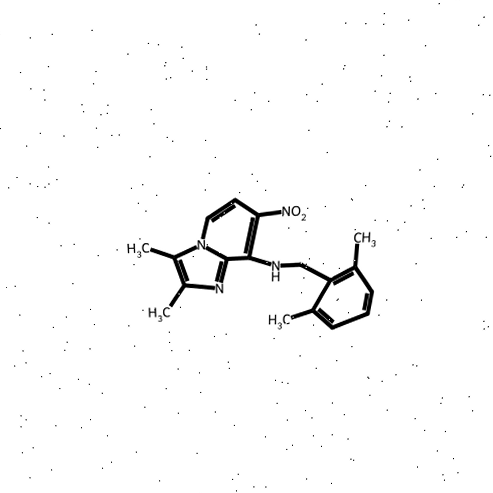 Cc1cccc(C)c1CNc1c([N+](=O)[O-])ccn2c(C)c(C)nc12